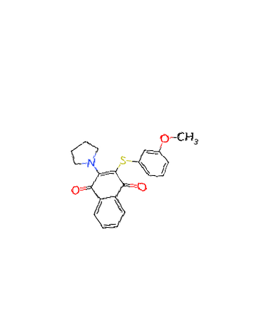 COc1cccc(SC2=C(N3CCCC3)C(=O)c3ccccc3C2=O)c1